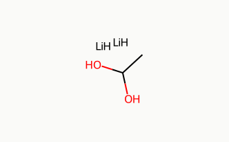 CC(O)O.[LiH].[LiH]